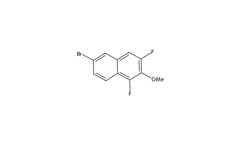 COc1c(F)cc2cc(Br)ccc2c1F